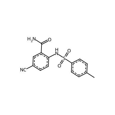 Cc1ccc(S(=O)(=O)Nc2ccc(C#N)cc2C(N)=O)cc1